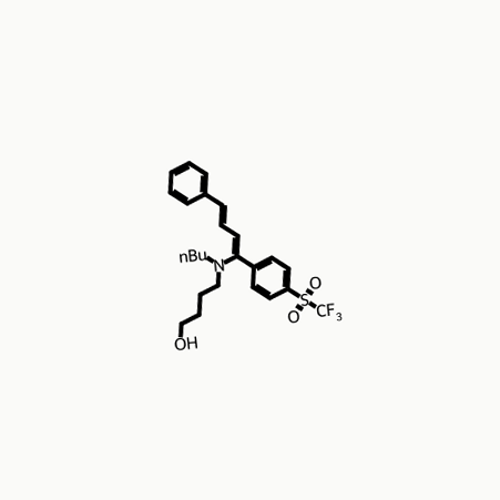 CCCCN(CCCCO)C(=CC=Cc1ccccc1)c1ccc(S(=O)(=O)C(F)(F)F)cc1